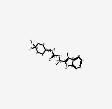 Cc1c([C@@H](C)NC(=O)NC2CCC(F)(F)CC2)oc2ccccc12